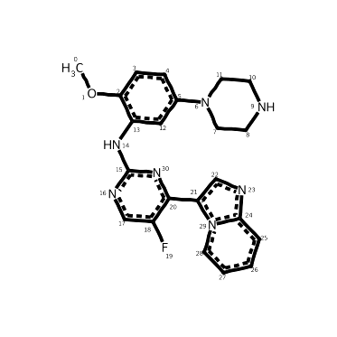 COc1ccc(N2CCNCC2)cc1Nc1ncc(F)c(-c2cnc3ccccn23)n1